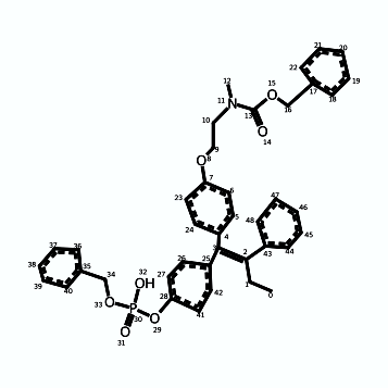 CC/C(=C(/c1ccc(OCCN(C)C(=O)OCc2ccccc2)cc1)c1ccc(OP(=O)(O)OCc2ccccc2)cc1)c1ccccc1